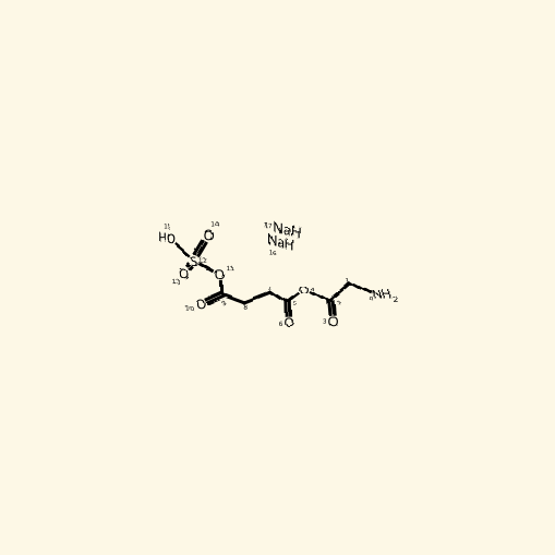 NCC(=O)OC(=O)CCC(=O)OS(=O)(=O)O.[NaH].[NaH]